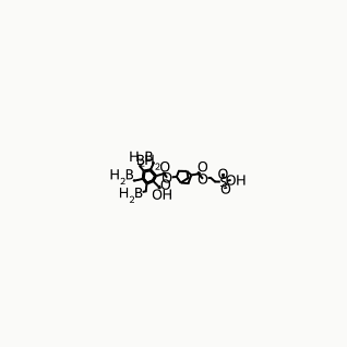 BCc1c(CB)c(CB)c(C(=O)OC2CC3CC2CC3C(=O)OCCS(=O)(=O)O)c(C(=O)O)c1CB